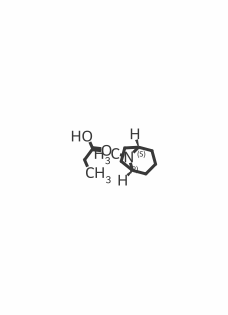 CCC(=O)O.CN1[C@@H]2CCC[C@H]1CC2